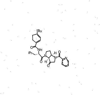 CC(C)C[C@H](NC(=O)C1=CC=C(C(C)(C)C)CC1)C(=O)N1CC[C@@H]2[C@H]1C(=O)CN2C(=O)c1ccccn1